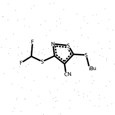 CCC(C)Sc1snc(SC(F)F)c1C#N